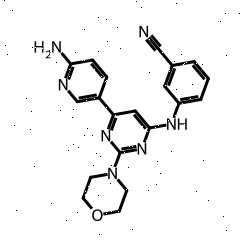 N#Cc1cccc(Nc2cc(-c3ccc(N)nc3)nc(N3CCOCC3)n2)c1